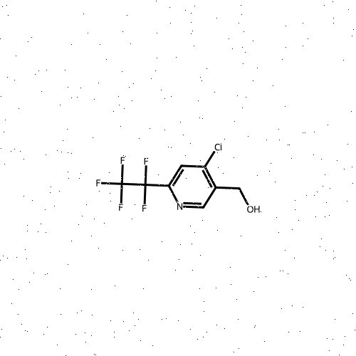 OCc1cnc(C(F)(F)C(F)(F)F)cc1Cl